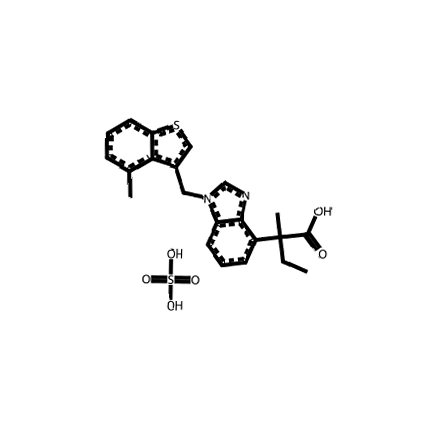 CCC(C)(C(=O)O)c1cccc2c1ncn2Cc1csc2cccc(C)c12.O=S(=O)(O)O